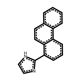 c1ccc2c(c1)ccc1c(-c3ncc[nH]3)cccc12